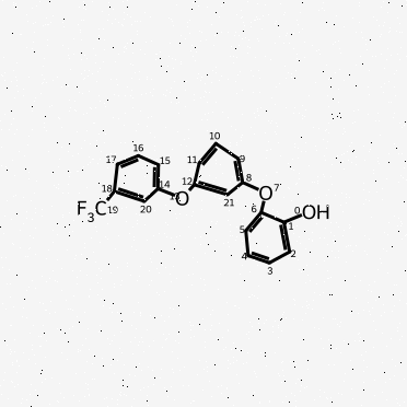 Oc1ccccc1Oc1cccc(Oc2cccc(C(F)(F)F)c2)c1